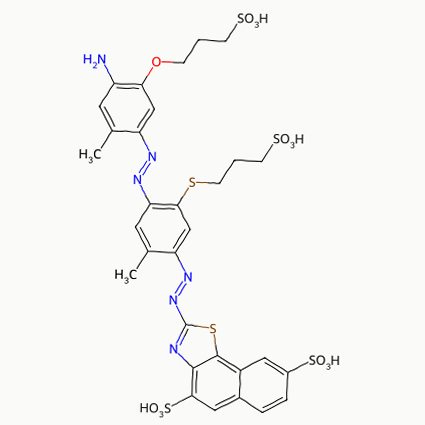 Cc1cc(N=Nc2cc(OCCCS(=O)(=O)O)c(N)cc2C)c(SCCCS(=O)(=O)O)cc1N=Nc1nc2c(S(=O)(=O)O)cc3ccc(S(=O)(=O)O)cc3c2s1